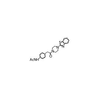 CC(=O)Nc1ccc(CC(=O)N2CCN(c3nc4ccccc4s3)CC2)cc1